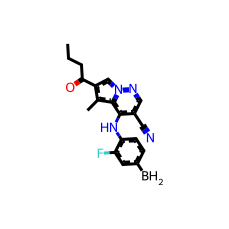 Bc1ccc(Nc2c(C#N)cnn3cc(C(=O)CCC)c(C)c23)c(F)c1